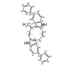 C=C1/C=C\c2[nH]c3ccc(-c4ccccc4)cc3c2C/C=C\c2[nH]c3ccc(-c4ccccc4)cc3c21